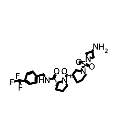 NC1CN(S(=O)(=O)N2CCC[C@H](C(=O)N3CCC[C@@H]3C(=O)NCc3ccc(C(F)(F)F)cc3)C2)C1